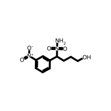 NS(=O)(=O)C(CCCO)c1cccc([N+](=O)[O-])c1